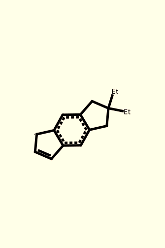 CCC1(CC)Cc2cc3c(cc2C1)C=C[CH]3